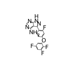 Nc1ncnc2[nH]nc(-c3ccc(Oc4cc(F)cc(F)c4F)cc3F)c12